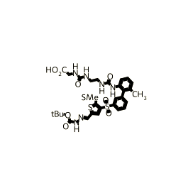 CSc1sc(C=NNC(=O)OC(C)(C)C)cc1S(=O)(=O)c1cccc(-c2c(C)cccc2NC(=O)NCCNC(=O)NCC(=O)O)c1